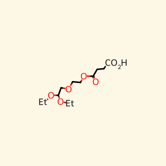 CCOC(COCCOC(=O)CCC(=O)O)OCC